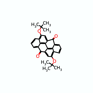 CC(C)(C)Oc1cc2c3c4c1cccc4c(=O)c1cc(OC(C)(C)C)c4cccc(c2=O)c4c1-3